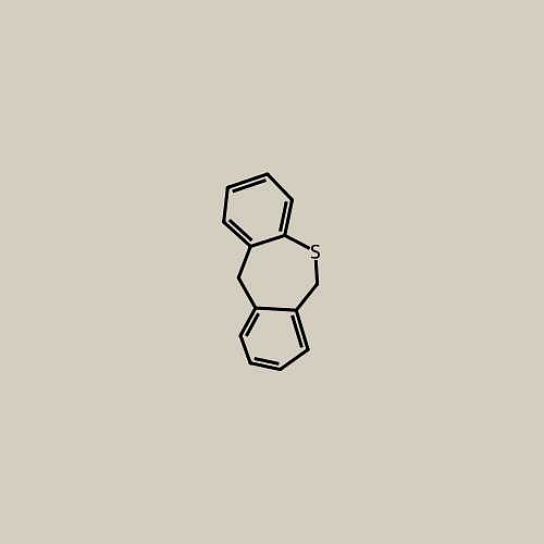 c1ccc2c(c1)CSc1ccccc1C2